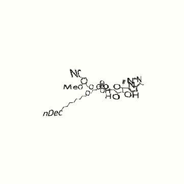 C#C[C@@]1(c2ccc3c(C)ncnn23)O[C@H](COP(=O)(O)OC[C@@H](COCCCCCCCCCCCCCCCCCC)OCc2ccc(C#N)cc2OC)[C@@H](O)[C@H]1O